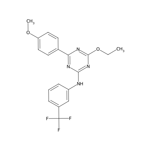 CCOc1nc(Nc2cccc(C(F)(F)F)c2)nc(-c2ccc(OC)cc2)n1